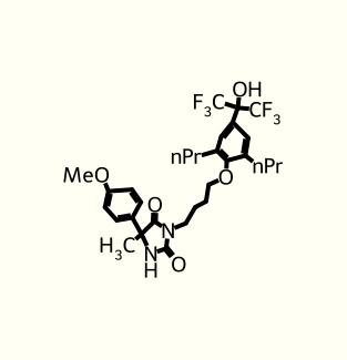 CCCc1cc(C(O)(C(F)(F)F)C(F)(F)F)cc(CCC)c1OCCCCN1C(=O)NC(C)(c2ccc(OC)cc2)C1=O